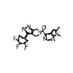 Cc1cc2c(C(=O)N3CCc4c(nn(C)c4-c4cc(F)c(F)c(F)c4)C3)ncnc2n1C